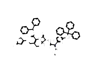 CO/N=C(\C(=O)N[C@@H]1C(=O)N2C(C(=O)OC(c3ccccc3)c3ccccc3)=C(CSC3=CC(=O)OC3)CS[C@@H]12)c1csc(NC(c2ccccc2)(c2ccccc2)c2ccccc2)n1